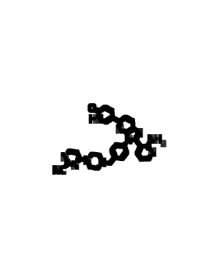 N#Cc1nccc(N2CCN(Cc3ccc(-n4c(-c5cccnc5N)nc5ccc(-c6ccc(=O)[nH]c6)nc54)cc3)CC2)n1